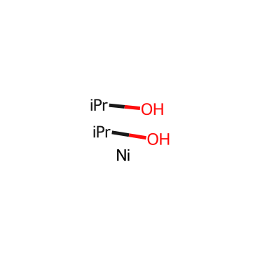 CC(C)O.CC(C)O.[Ni]